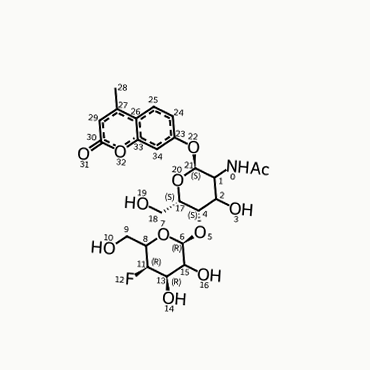 CC(=O)NC1C(O)[C@H](O[C@@H]2OC(CO)[C@H](F)[C@H](O)C2O)[C@H](CO)O[C@H]1Oc1ccc2c(C)cc(=O)oc2c1